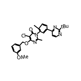 COc1cccc(COc2nc(C)n(-c3cc(-c4ccnc(C(C)(C)C)n4)ccc3C)c(=O)c2Cl)c1